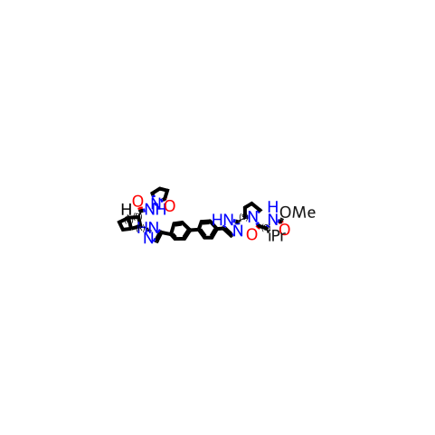 COC(=O)N[C@H](C(=O)N1CCC[C@H]1c1ncc(-c2ccc(-c3ccc(-c4cnc([C@@H]5C6CC[C@H]6[C@H]5C(=O)NN5CCCC5=O)[nH]4)cc3)cc2)[nH]1)C(C)C